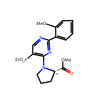 CCOC(=O)c1cnc(-c2ccccc2OC)nc1N1CCC[C@H]1C(=O)OC